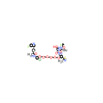 Cc1ncsc1-c1ccc(CNC(=O)[C@@H]2C[C@@H](O)CN2C(=O)[C@@H](NC(=O)C2(F)CC2)C(C)(C)C)c(OCCOCCOCCOCCOCCOc2cc(NC(=O)[C@H](C)[C@H]3CC[C@@H](c4ccnc5ccc(F)cc54)CC3)ccc2Cl)c1